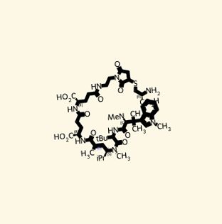 CN[C@H](C(=O)NC(C(=O)N(C)[C@H](/C=C(\C)C(=O)N[C@H](CCC(=O)N[C@H](CCC(=O)NCCN1C(=O)CC(SC[C@H](N)C(=O)O)C1=O)C(=O)O)C(=O)O)C(C)C)C(C)(C)C)C(C)(C)c1cn(C)c2ccccc12